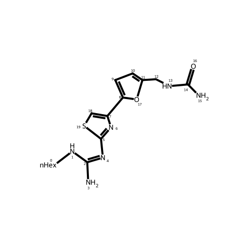 CCCCCCNC(N)=Nc1nc(-c2ccc(CNC(N)=O)o2)cs1